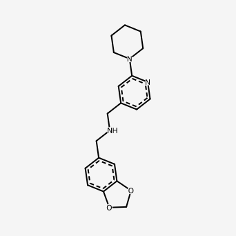 c1cc(CNCc2ccc3c(c2)OCO3)cc(N2CCCCC2)n1